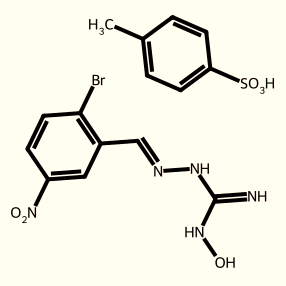 Cc1ccc(S(=O)(=O)O)cc1.N=C(NO)NN=Cc1cc([N+](=O)[O-])ccc1Br